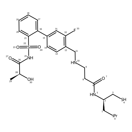 CC(C)C[C@H](CS)NC(=O)CCNCc1ccc(-c2ccccc2S(=O)(=O)NC(=O)[C@H](C)O)cc1F